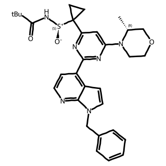 C[C@@H]1COCCN1c1cc(C2([S@@+]([O-])NC(=O)C(C)(C)C)CC2)nc(-c2ccnc3c2ccn3Cc2ccccc2)n1